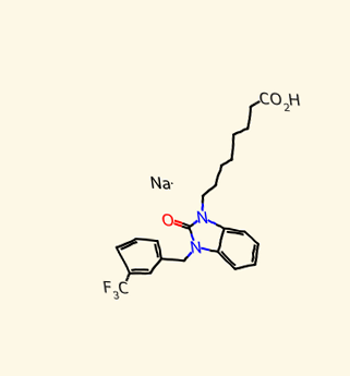 O=C(O)CCCCCCCn1c(=O)n(Cc2cccc(C(F)(F)F)c2)c2ccccc21.[Na]